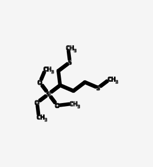 CO[Si](OC)(OC)C(CCSC)CSC